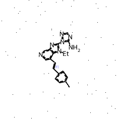 CCn1c(-n2ncnc2N)nc2cncc(/C=C/c3ccc(C)cc3)c21